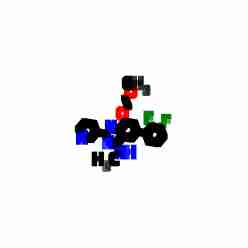 CNc1nc(-c2cccnc2)nc2c(OCCOC)cc(-c3cccc(F)c3F)cc12